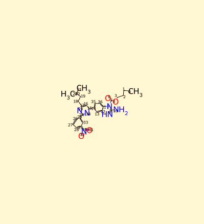 CCCCOC(=O)N(C(=N)N)c1ccc(-c2cc(CCC(C)C)nc(-c3cccc([N+](=O)[O-])c3)n2)cc1